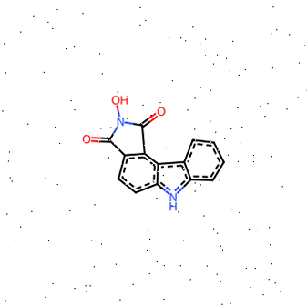 O=C1c2ccc3[nH]c4ccccc4c3c2C(=O)N1O